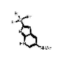 CC(=O)Nc1c[nH]c2nc([Si](C(C)C)(C(C)C)C(C)C)cc-2c1